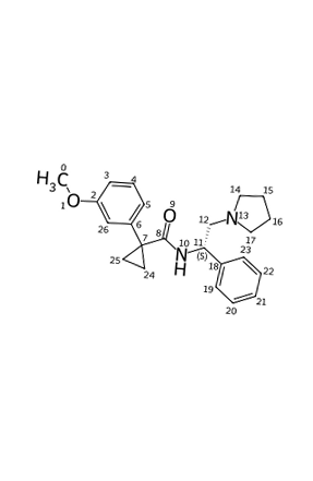 COc1cccc(C2(C(=O)N[C@H](CN3CCCC3)c3ccccc3)CC2)c1